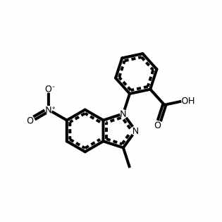 Cc1nn(-c2ccccc2C(=O)O)c2cc([N+](=O)[O-])ccc12